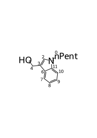 CCCCCn1cc(CO)c2ccccc21